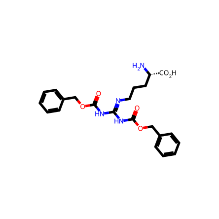 N[C@@H](CCCN=C(NC(=O)OCc1ccccc1)NC(=O)OCc1ccccc1)C(=O)O